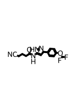 N#CCCCC(=O)Nc1cc(-c2ccc(OC(F)F)cc2)n[nH]1